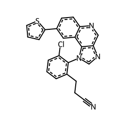 N#CCCc1cccc(Cl)c1-n1cnc2cnc3ccc(-c4cccs4)cc3c21